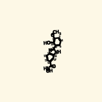 COc1cccc(-c2nc3ccc(C(=O)NO)cc3[nH]2)c1O